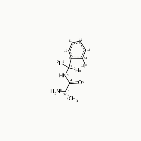 [2H]C([2H])(NC(=O)[C@H](C)N)c1ccccc1F